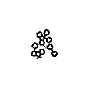 CC1(C)c2ccc(N(c3cccc(-c4ccccc4)c3)c3ccc4c(c3)C(c3ccccc3)(c3ccccc3)c3ccccc3-4)cc2-c2c(-c3ccccc3)cccc21